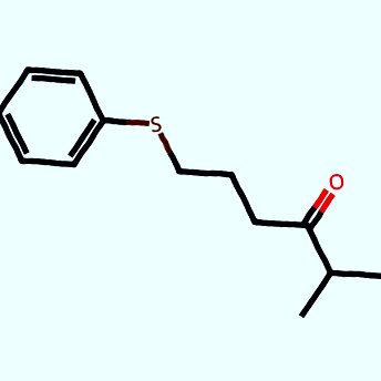 CC(C)C(=O)CCCSc1ccccc1